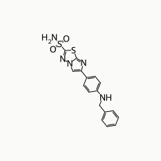 NS(=O)(=O)c1nn2cc(-c3ccc(NCc4ccccc4)cc3)nc2s1